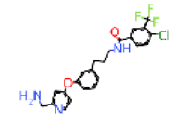 NCc1cc(Oc2cccc(CCCNC(=O)c3ccc(Cl)c(C(F)(F)F)c3)c2)ccn1